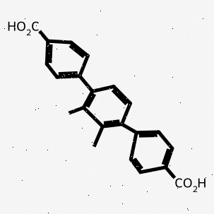 Cc1c(-c2ccc(C(=O)O)cc2)ccc(-c2ccc(C(=O)O)cc2)c1C